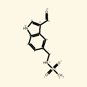 CS(=O)(=O)NCc1ccc2[nH]cc(C=O)c2c1